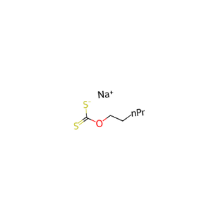 CCCCCOC(=S)[S-].[Na+]